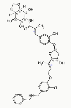 C/C(=C\c1ccc(O[C@H]2C[C@H](O)[C@@H](/C(C)=C/COc3ccc(CNCc4ccccc4)cc3Cl)O2)c(O)c1)C(=O)N[C@@H]1[C@H](O)[C@@H](O)[C@H]2OCO[C@H]2[C@@H]1O